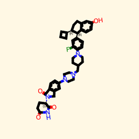 O=C1CC[C@H](N2Cc3cc(N4CCN(CC5CCN(c6ccc([C@@H]7c8ccc(O)cc8CC[C@@H]7C7CCC7)cc6F)CC5)CC4)ccc3C2=O)C(=O)N1